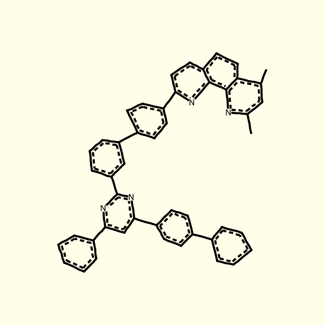 Cc1cc(C)c2ccc3ccc(-c4ccc(-c5cccc(-c6nc(-c7ccccc7)cc(-c7ccc(-c8ccccc8)cc7)n6)c5)cc4)nc3c2n1